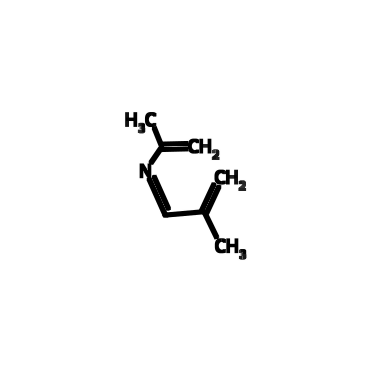 C=C(C)/C=N\C(=C)C